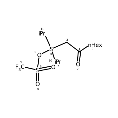 CCCCCCC(=O)CS(OS(=O)(=O)C(F)(F)F)(C(C)C)C(C)C